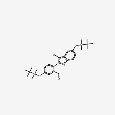 CC(C)(C)[Si](C)(C)Oc1ccc(-n2nc3ccc(O[Si](C)(C)C(C)(C)C)cc3c2Cl)c(C=O)c1